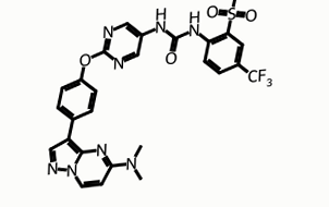 CN(C)c1ccn2ncc(-c3ccc(Oc4ncc(NC(=O)Nc5ccc(C(F)(F)F)cc5S(C)(=O)=O)cn4)cc3)c2n1